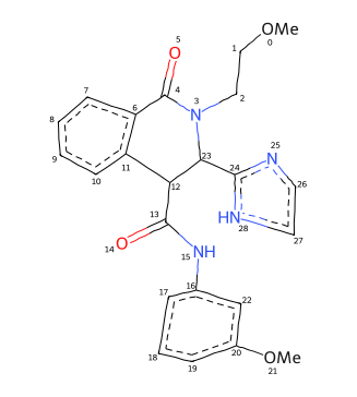 COCCN1C(=O)c2ccccc2C(C(=O)Nc2cccc(OC)c2)C1c1ncc[nH]1